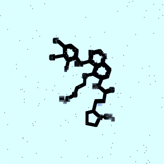 COCCOc1c(NC(=O)/C=C/C2CCCN2C)ccc2ncnc(Nc3ccc(Cl)c(Cl)c3F)c12